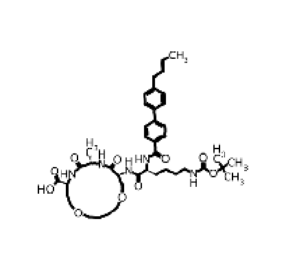 CCCCc1ccc(-c2ccc(C(=O)N[C@@H](CCCCNC(=O)OC(C)(C)C)C(=O)N[C@H]3COCCCCOCC[C@@H](C(=O)O)NC(=O)[C@H](C)NC3=O)cc2)cc1